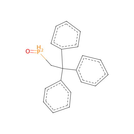 O=[PH2]CC(c1ccccc1)(c1ccccc1)c1ccccc1